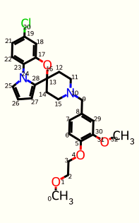 COCCOc1ccc(CN2CCC3(CC2)Oc2cc(Cl)ccc2-n2cccc23)cc1OC